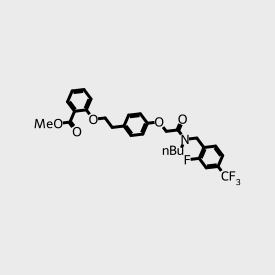 CCCCN(Cc1ccc(C(F)(F)F)cc1F)C(=O)COc1ccc(CCOc2ccccc2C(=O)OC)cc1